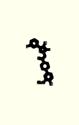 COc1cc(N2CCN(C(=O)Cn3nc(-c4cccc(F)c4)c(Cl)c3C)CC2)ccc1Cl